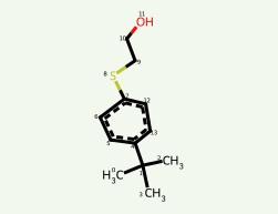 CC(C)(C)c1ccc(SCCO)cc1